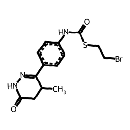 CC1CC(=O)NN=C1c1ccc(NC(=O)SCCBr)cc1